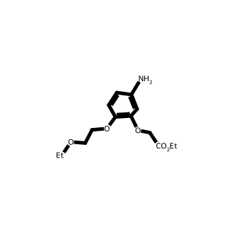 CCOCCOc1ccc(N)cc1OCC(=O)OCC